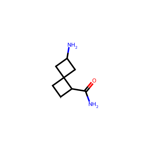 NC(=O)C1[CH]CC12CC(N)C2